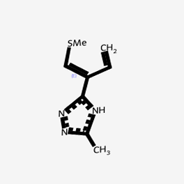 C=C/C(=C\SC)c1nnc(C)[nH]1